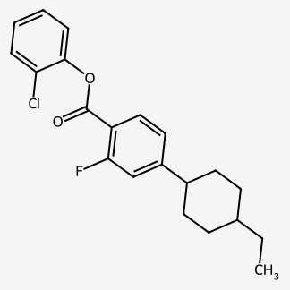 CCC1CCC(c2ccc(C(=O)Oc3ccccc3Cl)c(F)c2)CC1